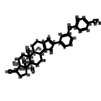 C[C@]12CCc3nc(-c4cccc(Oc5ccc(C(F)(F)F)cn5)c4)sc3C1CC[C@@H]1[C@@H]2CC[C@]2(C)C(=O)CC[C@@H]12